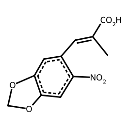 C/C(=C\c1cc2c(cc1[N+](=O)[O-])OCO2)C(=O)O